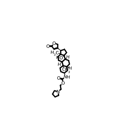 C[C@]12CC[C@H](NC(=O)OCCN3CCCC3)C[C@H]1CC[C@@H]1[C@@H]2CC[C@]2(C)[C@@H](C3=CC(=O)OC3)[CH]C[C@]12O